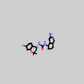 CC1(C)C[C@@H](NC(=O)Nc2cccc3cnc(N)cc23)c2ccc(F)cc2O1